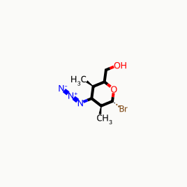 C[C@H]1C(CO)O[C@H](Br)[C@@H](C)C1N=[N+]=[N-]